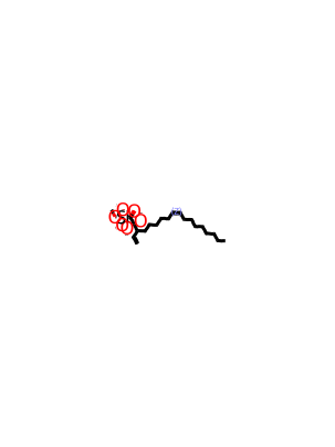 C=CC(CCCCC/C=C\CCCCCCCC)C(OC)(OC)C(=O)[Si](OC)(OC)OC